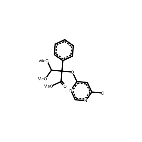 COC(=O)C(Oc1cc(Cl)ncn1)(c1ccccc1)C(OC)OC